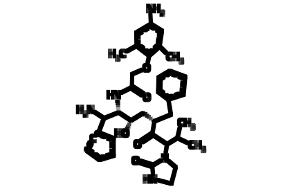 Cc1cc(N)cc(C)c1OCC(=O)N[C@@H](C(N)c1ccccc1)[C@@H](O)C[C@H](Cc1ccccc1)C(=O)C(C(C)C)N1CCNC1=O